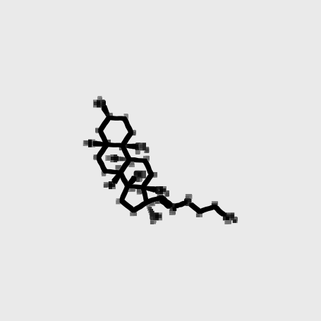 C[C@]12CC[C@H](O)C[C@H]1CC[C@@H]1[C@@H]2CC[C@]2(C)[C@@](O)(/C=N/OCCN)CC[C@]12O